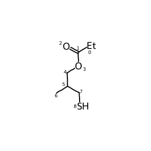 CCC(=O)OCC(C)CS